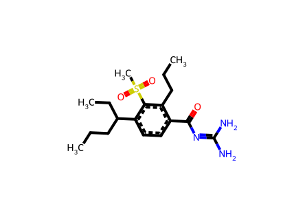 CCCc1c(C(=O)N=C(N)N)ccc(C(CC)CCC)c1S(C)(=O)=O